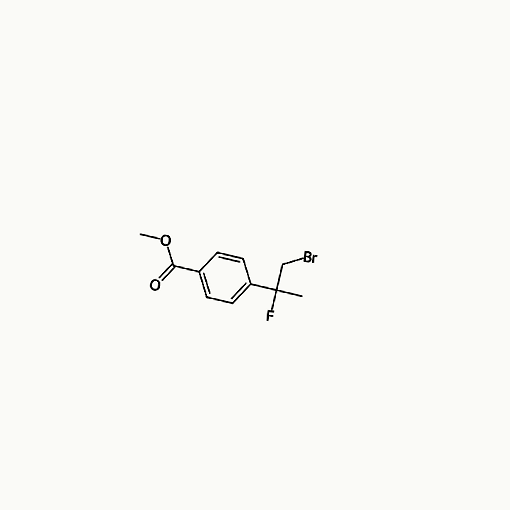 COC(=O)c1ccc(C(C)(F)CBr)cc1